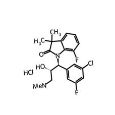 CNC[C@H](O)[C@H](c1cc(F)cc(Cl)c1)N1C(=O)C(C)(C)c2cccc(F)c21.Cl